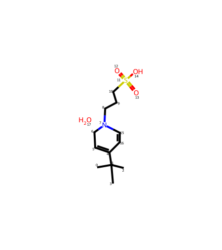 CC(C)(C)C1=CCN(CCCS(=O)(=O)O)C=C1.O